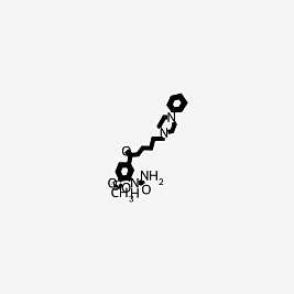 CS(=O)(=O)c1ccc(C(=O)CCCCCN2CCN(c3ccccc3)CC2)cc1NC(N)=O